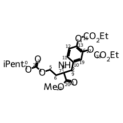 CCC[C@H](C)OC(=O)OCC[C@@](N)(Cc1ccc(OC(=O)OCC)c(OC(=O)OCC)c1)C(=O)OC